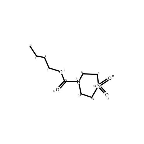 CCCCOC(=O)N1CCS(=O)(=O)CC1